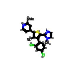 CNc1cc(-c2sc(-c3nccn3C)c(-c3ccc(Cl)cc3Cl)c2C#N)ccn1